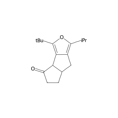 CC(C)c1oc(C(C)(C)C)c2c1CC1CCC(=O)C21